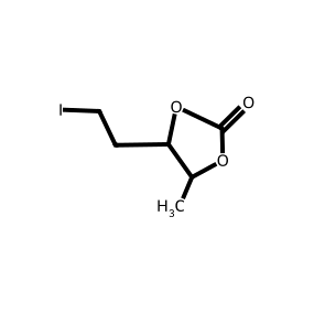 CC1OC(=O)OC1CCI